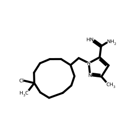 Cc1cc(C(=N)N)n(CC2CCCCCC(C)(Cl)CCCC2)n1